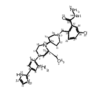 CC[C@H]1CN(c2ncc(-c3ncc[nH]3)cc2N)CCN1C1CCN(Cc2ccc(Cl)cc2C(=O)NN)CC1